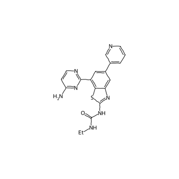 CCNC(=O)Nc1nc2cc(-c3cccnc3)cc(-c3nccc(N)n3)c2s1